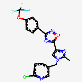 Cc1nc(-c2nc(-c3ccc(OC(F)(F)F)cc3)no2)cn1Cc1ccc(Cl)nc1